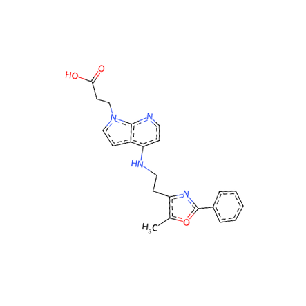 Cc1oc(-c2ccccc2)nc1CCNc1ccnc2c1ccn2CCC(=O)O